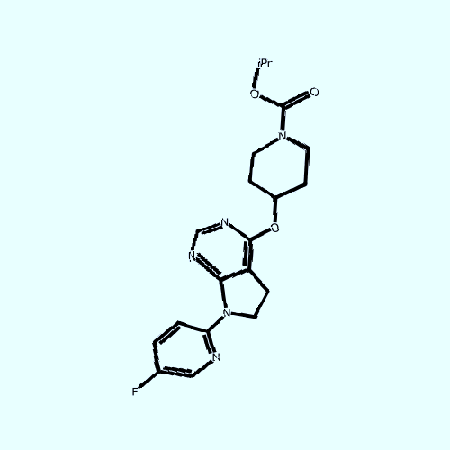 CC(C)OC(=O)N1CCC(Oc2ncnc3c2CCN3c2ccc(F)cn2)CC1